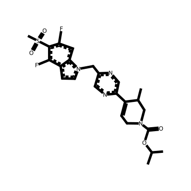 CC(C)OC(=O)N1CC=C(c2cnc(Cn3ccc4c(F)c(S(C)(=O)=O)c(F)cc43)cn2)C(C)C1